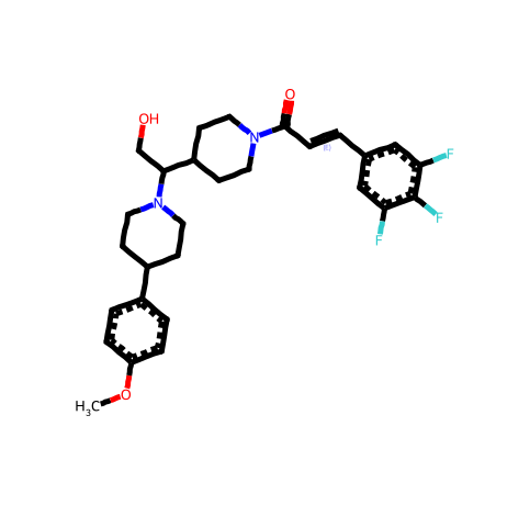 COc1ccc(C2CCN(C(CO)C3CCN(C(=O)/C=C/c4cc(F)c(F)c(F)c4)CC3)CC2)cc1